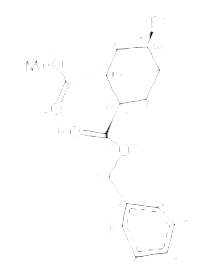 COC(=O)[C@@H]1C[C@@H](F)CC[C@H]1C(=O)OCc1ccccc1